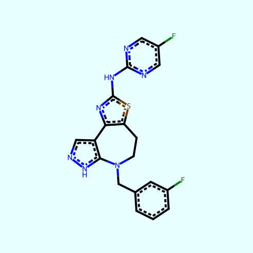 Fc1cnc(Nc2nc3c(s2)CCN(Cc2cccc(F)c2)c2[nH]ncc2-3)nc1